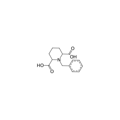 O=C(O)C1CCCC(C(=O)O)N1Cc1ccccc1